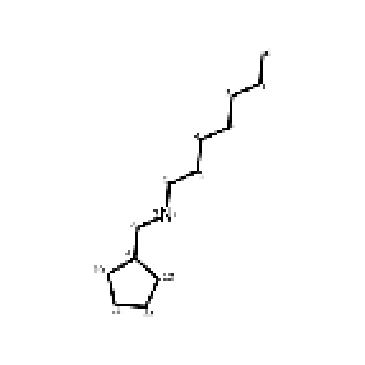 CCCCCCC[N]CC1CCCC1